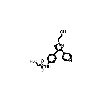 CCS(=O)(=O)Nc1ccc(-c2cn(CCO)nc2-c2ccncc2)cc1